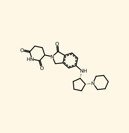 O=C1CCC(N2Cc3cc(N[C@H]4CCC[C@H]4N4CCCCC4)ccc3C2=O)C(=O)N1